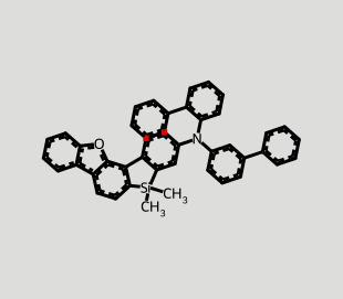 C[Si]1(C)c2cc(N(c3cccc(-c4ccccc4)c3)c3ccccc3-c3ccccc3)ccc2-c2c1ccc1c2oc2ccccc21